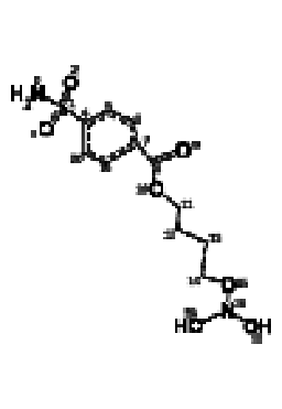 NS(=O)(=O)c1ccc(C(=O)OCCCCON(O)O)cc1